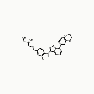 OC[C@@H](O)CNCc1ccc(Nc2nsc3c(-c4ccc5c(c4)OCCO5)cccc23)c(Cl)c1